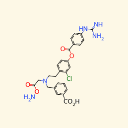 N=C(N)Nc1ccc(C(=O)Oc2ccc(CCN(CC(=O)ON)Cc3cccc(C(=O)O)c3)c(Cl)c2)cc1